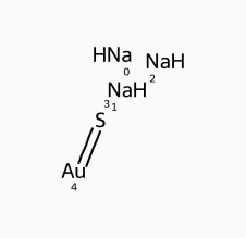 [NaH].[NaH].[NaH].[S]=[Au]